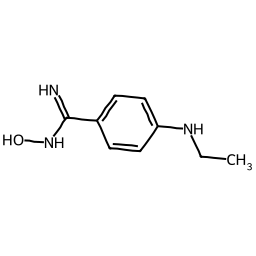 CCNc1ccc(C(=N)NO)cc1